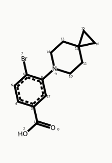 O=C(O)c1ccc(Br)c(N2CCC3(CC2)CC3)c1